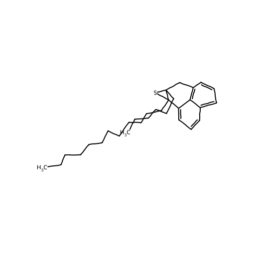 CCCCCCCCCCCCC12SC1(CCCCCC)Cc1cccc3cccc2c13